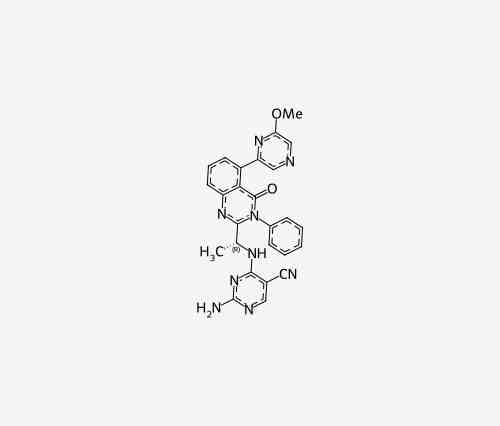 COc1cncc(-c2cccc3nc([C@@H](C)Nc4nc(N)ncc4C#N)n(-c4ccccc4)c(=O)c23)n1